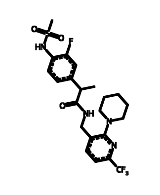 CC(C(=O)NCc1ccc(C(F)(F)F)nc1N1CCCCC1)c1ccc(NS(C)(=O)=O)c(F)c1